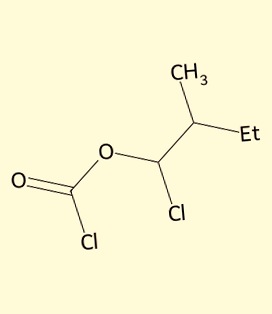 CCC(C)C(Cl)OC(=O)Cl